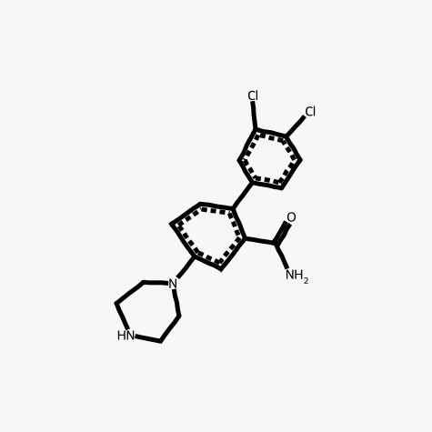 NC(=O)c1[c]c(N2CCNCC2)ccc1-c1ccc(Cl)c(Cl)c1